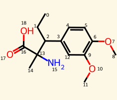 CCC(c1ccc(OC)c(OC)c1)C(C)(N)C(=O)O